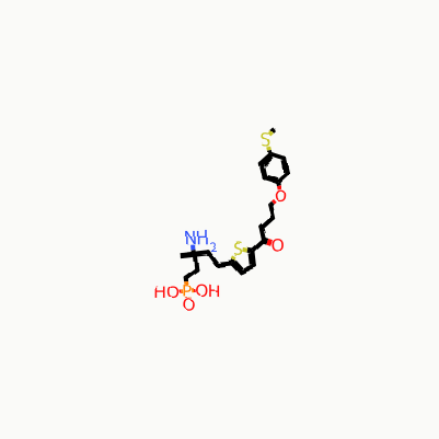 CSc1ccc(OCCCC(=O)c2ccc(CCC(C)(N)CCP(=O)(O)O)s2)cc1